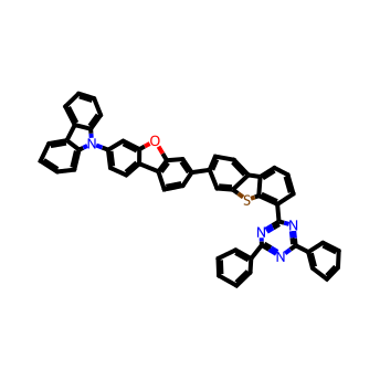 c1ccc(-c2nc(-c3ccccc3)nc(-c3cccc4c3sc3cc(-c5ccc6c(c5)oc5cc(-n7c8ccccc8c8ccccc87)ccc56)ccc34)n2)cc1